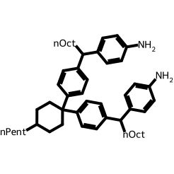 CCCCCCCCC(c1ccc(N)cc1)c1ccc(C2(c3ccc(C(CCCCCCCC)c4ccc(N)cc4)cc3)CCC(CCCCC)CC2)cc1